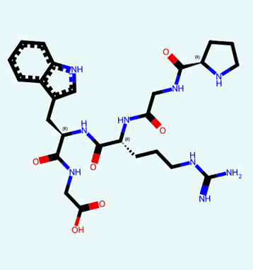 N=C(N)NCCC[C@@H](NC(=O)CNC(=O)[C@H]1CCCN1)C(=O)N[C@H](Cc1c[nH]c2ccccc12)C(=O)NCC(=O)O